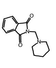 O=C1c2ccccc2C(=O)N1CN1CCCCC1